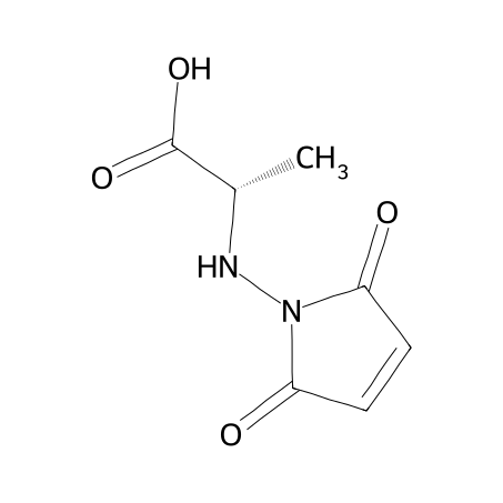 C[C@H](NN1C(=O)C=CC1=O)C(=O)O